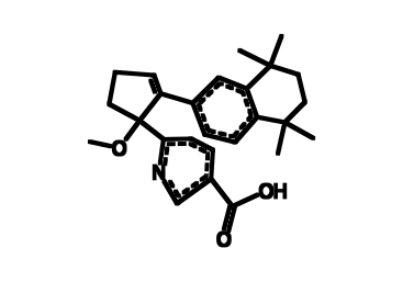 COC1(c2ccc(C(=O)O)cn2)CCC=C1c1ccc2c(c1)C(C)(C)CCC2(C)C